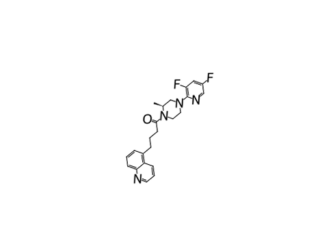 C[C@H]1CN(c2ncc(F)cc2F)CCN1C(=O)CCCc1cccc2ncccc12